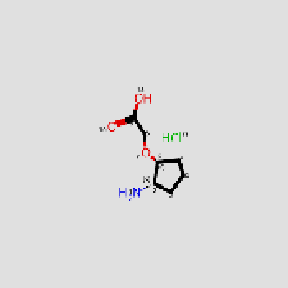 Cl.N[C@H]1CCC[C@@H]1OCC(=O)O